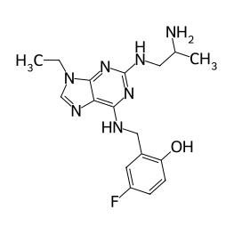 CCn1cnc2c(NCc3cc(F)ccc3O)nc(NCC(C)N)nc21